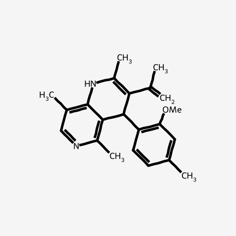 C=C(C)C1=C(C)Nc2c(C)cnc(C)c2C1c1ccc(C)cc1OC